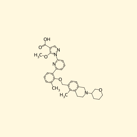 COc1c(C(=O)O)cnn1-c1cccc(-c2cccc(C)c2OCc2ccc3c(c2C)CCN(C2CCCOC2)C3)n1